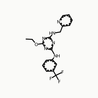 CCOc1nc(NCc2ccccn2)nc(Nc2cccc(C(F)(F)F)c2)n1